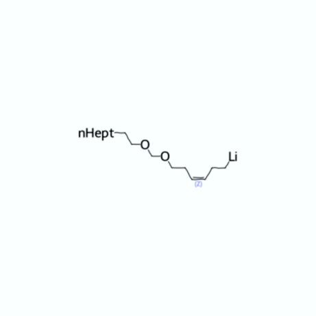 [Li][CH2]C/C=C\CCOCOCCCCCCCCC